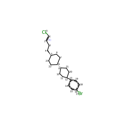 Cl/C=C/CC[C@H]1CC[C@H](C2CCC(c3ccc(Br)cc3)CC2)CC1